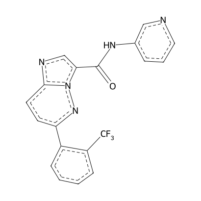 O=C(Nc1cccnc1)c1cnc2ccc(-c3ccccc3C(F)(F)F)nn12